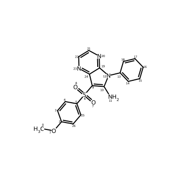 COc1ccc(S(=O)(=O)c2c(N)n(-c3ccccc3)c3nccnc23)cc1